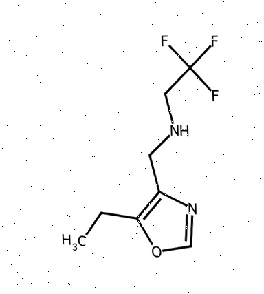 CCc1ocnc1CNCC(F)(F)F